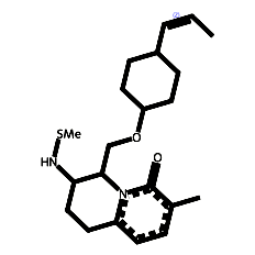 C/C=C\C1CCC(OCC2C(NSC)CCc3ccc(C)c(=O)n32)CC1